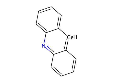 c1cc[c]2c(c1)N=c1cccc[c]1=[GeH]2